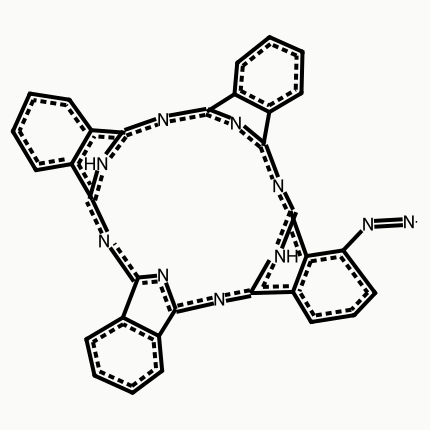 [N]=Nc1cccc2c3nc4nc(nc5[nH]c(nc6nc(nc([nH]3)c12)-c1ccccc1-6)c1ccccc51)-c1ccccc1-4